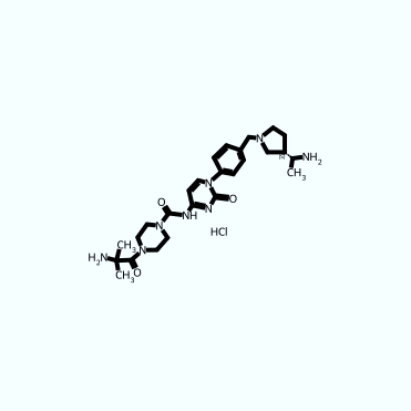 CC(N)[C@H]1CCN(Cc2ccc(-n3ccc(NC(=O)N4CCN(C(=O)C(C)(C)N)CC4)nc3=O)cc2)C1.Cl